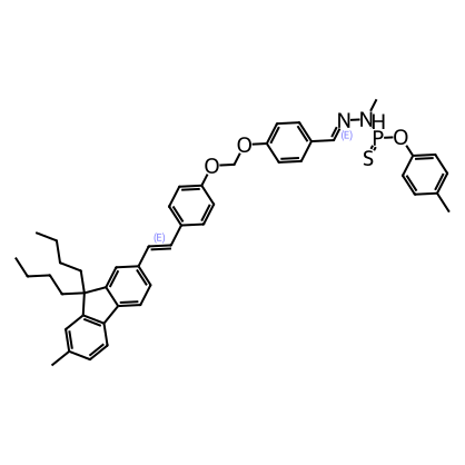 CCCCC1(CCCC)c2cc(C)ccc2-c2ccc(/C=C/c3ccc(OCOc4ccc(/C=N/N(C)[PH](=S)Oc5ccc(C)cc5)cc4)cc3)cc21